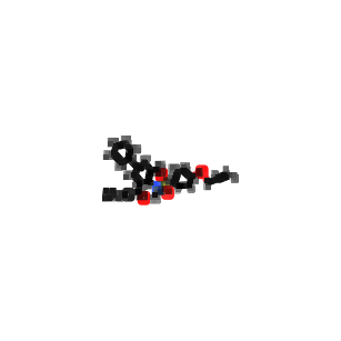 CC#CCOc1ccc(S(=O)(=O)N(C)c2c(C)cc(-c3ccccc3)cc2C(=O)OC)cc1